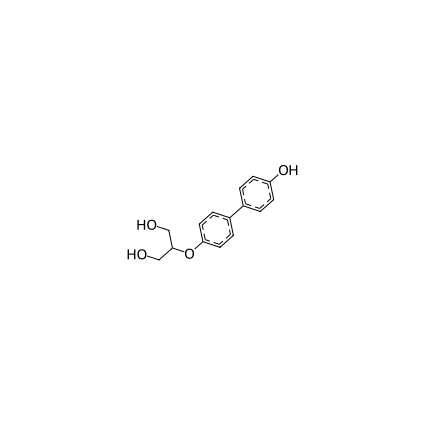 OCC(CO)Oc1ccc(-c2ccc(O)cc2)cc1